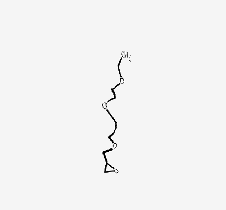 [CH2]COCCOCCOCC1CO1